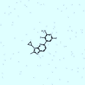 Cc1nc2ccc(-c3cc(F)nc(N)c3F)nc2n1C1CC1